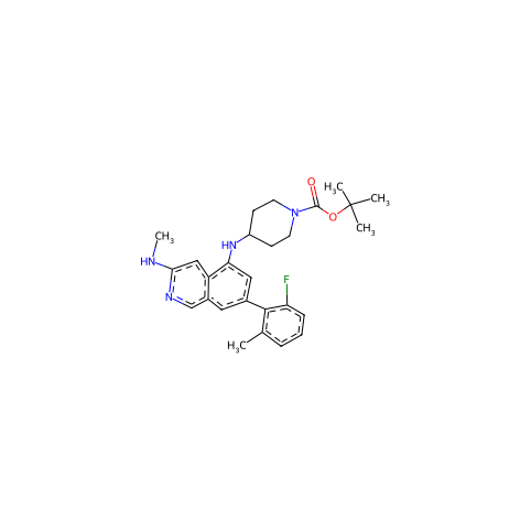 CNc1cc2c(NC3CCN(C(=O)OC(C)(C)C)CC3)cc(-c3c(C)cccc3F)cc2cn1